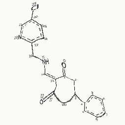 O=C1CC(c2ccccc2)CC(=O)C1=CNCc1ccc(Cl)cn1